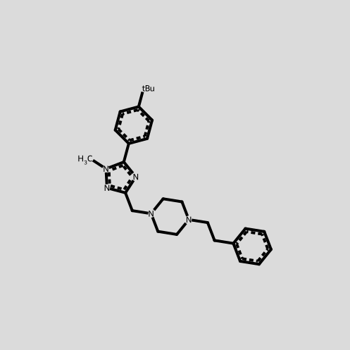 Cn1nc(CN2CCN(CCc3ccccc3)CC2)nc1-c1ccc(C(C)(C)C)cc1